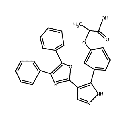 CC(Oc1cccc(-c2[nH]ncc2-c2nc(-c3ccccc3)c(-c3ccccc3)o2)c1)C(=O)O